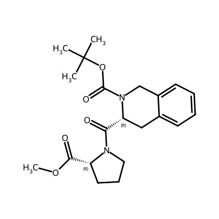 COC(=O)[C@H]1CCCN1C(=O)[C@H]1Cc2ccccc2CN1C(=O)OC(C)(C)C